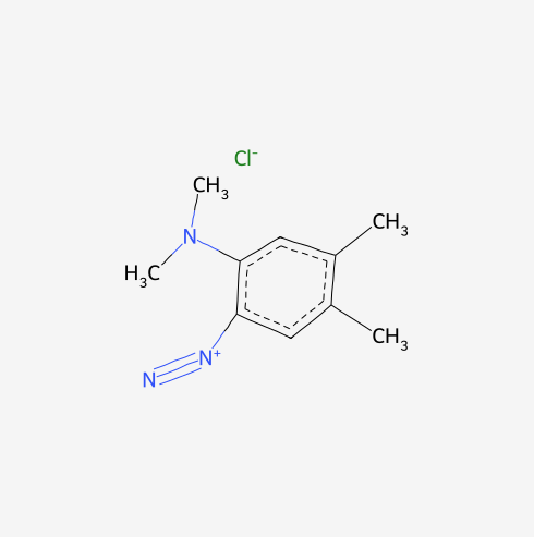 Cc1cc([N+]#N)c(N(C)C)cc1C.[Cl-]